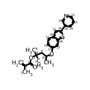 C=C(C)C(=O)OC(C)(C)CC(C)Oc1ccc2cc(-c3cccnc3)sc2c1